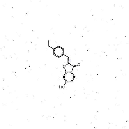 CCc1ccc(/C=C2\Oc3cc(O)ccc3C2=O)cc1